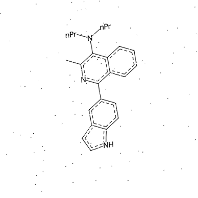 CCCN(CCC)c1c(C)nc(-c2ccc3[nH]ccc3c2)c2ccccc12